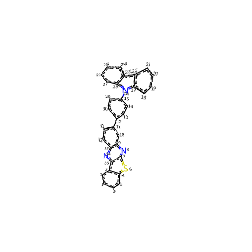 c1ccc2c(c1)sc1nc3cc(-c4ccc(-n5c6ccccc6c6ccccc65)cc4)ccc3nc12